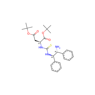 CC(C)(C)OC(=O)C[C@H](NC(=S)N[C@H](c1ccccc1)[C@H](N)c1ccccc1)C(=O)OC(C)(C)C